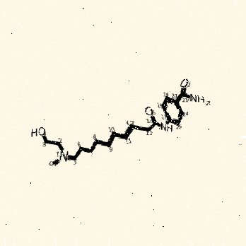 CN(CCO)CCCCCCCCCC(=O)Nc1ccc(C(N)=O)cc1